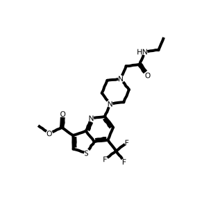 CCNC(=O)CN1CCN(c2cc(C(F)(F)F)c3scc(C(=O)OC)c3n2)CC1